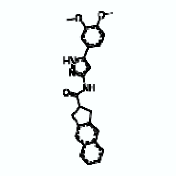 COc1ccc(-c2cc(NC(=O)C3Cc4cc5ccccc5cc4C3)n[nH]2)cc1OC